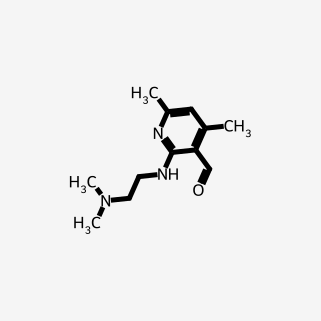 Cc1cc(C)c(C=O)c(NCCN(C)C)n1